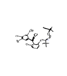 CC(C)(C)O/N=C(\Oc1ccc[n+]([O-])c1C(=O)c1cc(Br)c(Cl)cc1O)C(C)(C)C